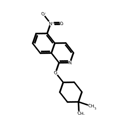 CC1(C)CCC(Oc2nccc3c([N+](=O)[O-])cccc23)CC1